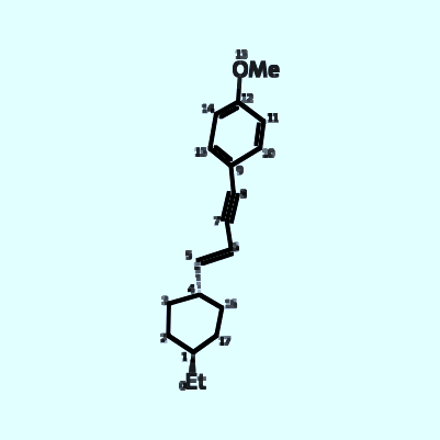 CC[C@H]1CC[C@H](C=CC#Cc2ccc(OC)cc2)CC1